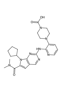 CN(C)C(=O)c1cc2cnc(Nc3ncccc3N3CCN(C(=O)O)CC3)nc2n1C1CCCC1